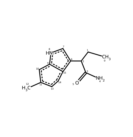 CCC(C(N)=O)c1c[nH]c2cc(C)ccc12